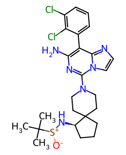 CC(C)(C)[S@@+]([O-])N[C@@H]1CCCC12CCN(c1nc(N)c(-c3cccc(Cl)c3Cl)c3nccn13)CC2